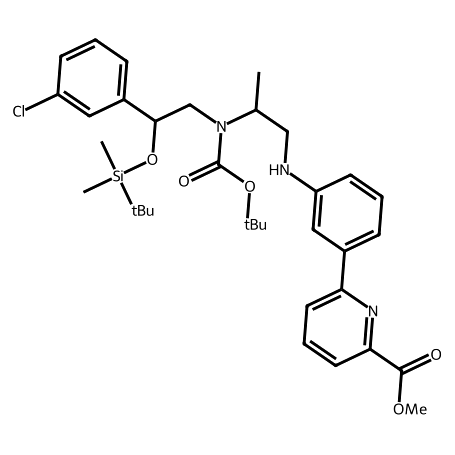 COC(=O)c1cccc(-c2cccc(NCC(C)N(CC(O[Si](C)(C)C(C)(C)C)c3cccc(Cl)c3)C(=O)OC(C)(C)C)c2)n1